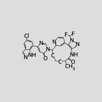 CC1CCCC(n2cnc(-c3cc(Cl)cc4cn[nH]c34)cc2=O)c2cc(ccn2)-c2c(cnn2C(F)F)NC1=O